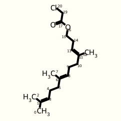 CC(C)=CCC/C(C)=C/CCC(C)=CCCOC(=O)CCl